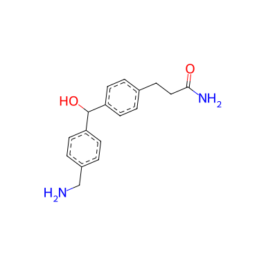 NCc1ccc(C(O)c2ccc(CCC(N)=O)cc2)cc1